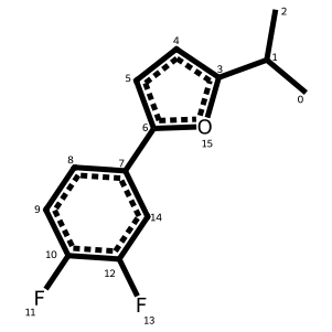 CC(C)c1ccc(-c2ccc(F)c(F)c2)o1